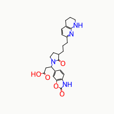 O=C(O)CC(c1ccc2[nH]c(=O)oc2c1)N1CCC(CCCc2ccc3c(n2)NCCC3)C1=O